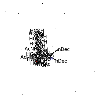 CCCCCCCCCCCCC/C=C/[C@@H](O)[C@H](CO[C@@H]1OC(CO)[C@@H](O[C@@H]2OC(CO)[C@H](O[C@@H]3OC(CO)[C@H](O)[C@H](O[C@@H]4OC(CO)[C@H](O)[C@H](O[C@H]5OC(CO)[C@H](O)[C@H](O[C@H]6OC(CO)[C@H](O)[C@H](O)C6O)C5O)C4O)C3NC(C)=O)[C@H](O[C@]3(C(=O)O)CC(O)[C@@H](NC(C)=O)C([C@H](O)[C@@H](CO)O[C@]4(C(=O)O)CC(O)[C@@H](NC(C)=O)C([C@H](O)[C@H](O)CO)O4)O3)C2O)[C@H](O)C1O)NC(=O)CCCCCCCCCCCCCCCCC